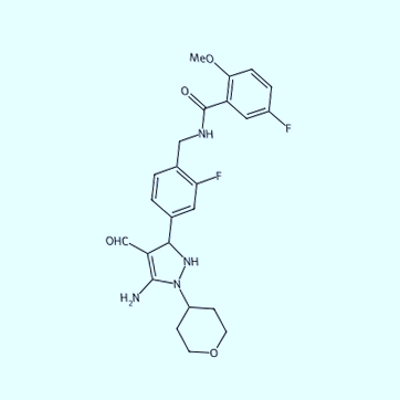 COc1ccc(F)cc1C(=O)NCc1ccc(C2NN(C3CCOCC3)C(N)=C2C=O)cc1F